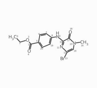 CCOC(=O)c1ccc(Nc2nc(Br)cn(C)c2=O)cc1